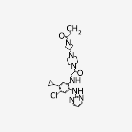 C=CC(=O)N1CC(N2CCN(C(=O)CNc3cc(C4CC4)c(Cl)cc3Nc3ncccn3)CC2)C1